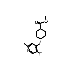 COC(=O)[C@H]1CC[C@H](Cc2cc(C)ncc2F)CC1